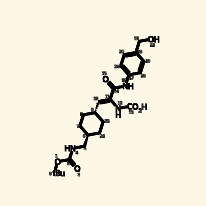 CC(C)(C)OC(=O)NC[C@H]1CC[C@H](C=C(NC(=O)O)C(=O)Nc2ccc(CO)cc2)CC1